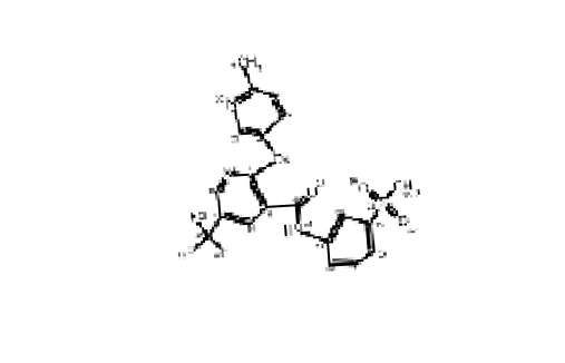 Cc1ccc(Oc2ncc(C(F)(F)F)cc2C(=O)Nc2cccc(S(C)(=O)=O)c2)cn1